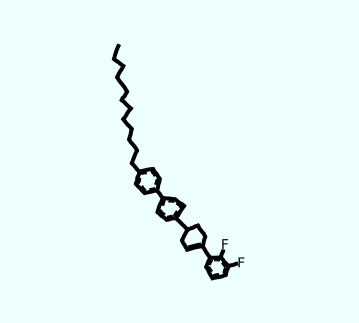 CCCCCCCCCCCCc1ccc(-c2ccc(C3CC=C(c4cccc(F)c4F)CC3)cc2)cc1